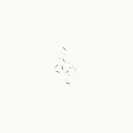 C=CC(C)(C)c1[nH]c2cccc3c2c1C[C@@H]1[C@@H]3[C@@H](OC(C)=O)[C@@H](C)CN1C